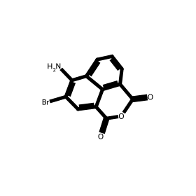 Nc1c(Br)cc2c3c(cccc13)C(=O)OC2=O